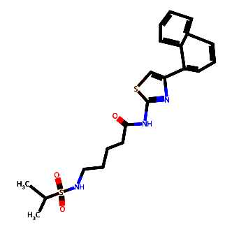 CC(C)S(=O)(=O)NCCCCC(=O)Nc1nc(-c2cccc3ccccc23)cs1